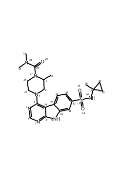 CC1CN(c2ncnc3[nH]c4cc(S(=O)(=O)NC5(C)CC5)ccc4c23)CCN1C(=O)N(C)C